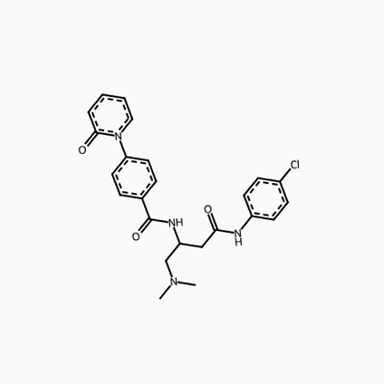 CN(C)CC(CC(=O)Nc1ccc(Cl)cc1)NC(=O)c1ccc(-n2ccccc2=O)cc1